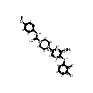 COc1ccc(NC(=O)N2CCN(c3cnc(Sc4cccc(Cl)c4Cl)c(N)n3)CC2)cc1